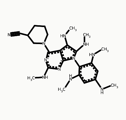 CNc1cc(NC)c(-n2c(NC)c(NC)c3c(N4CCCC(C#N)C4)nc(NC)nc32)c(NC)c1